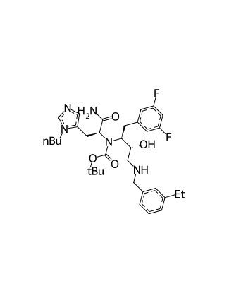 CCCCn1cncc1C[C@@H](C(N)=O)N(C(=O)OC(C)(C)C)[C@@H](Cc1cc(F)cc(F)c1)[C@H](O)CNCc1cccc(CC)c1